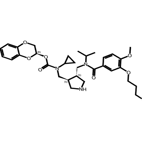 COCCCOc1cc(C(=O)N(C[C@@H]2CNC[C@H]2CN(C(=O)O[C@@H]2COc3ccccc3O2)C2CC2)C(C)C)ccc1OC